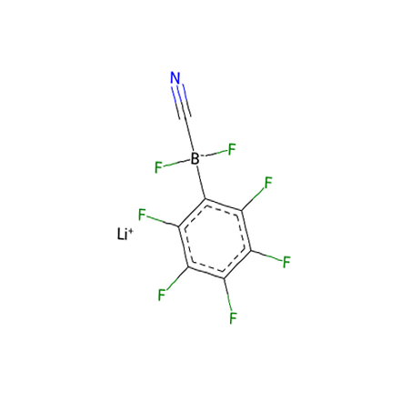 N#C[B-](F)(F)c1c(F)c(F)c(F)c(F)c1F.[Li+]